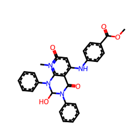 COC(=O)c1ccc(Nc2cc(=O)n(C)c3c2C(=O)N(c2ccccc2)C(O)N3c2ccccc2)cc1